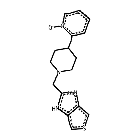 [O-][n+]1ccccc1C1CCN(Cc2nc3cscc3[nH]2)CC1